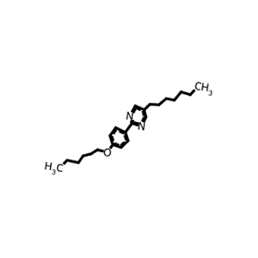 CCCCCCCc1cnc(-c2ccc(OCCCCCC)cc2)nc1